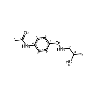 CC(=O)Nc1ccc(ONCC(C)O)cc1